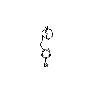 Brc1csc(CN2CCN3CCC2CC3)c1